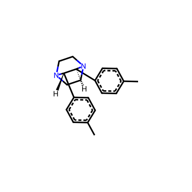 Cc1ccc([C@H]2[C@H](c3ccc(C)cc3)N3CCN2CC3)cc1